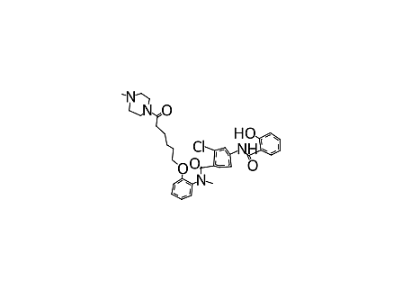 CN1CCN(C(=O)CCCCCOc2ccccc2N(C)C(=O)c2ccc(NC(=O)c3ccccc3O)cc2Cl)CC1